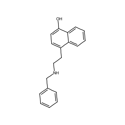 Oc1ccc(CCNCc2ccccc2)c2ccccc12